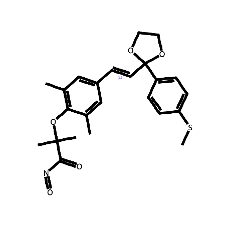 CSc1ccc(C2(/C=C/c3cc(C)c(OC(C)(C)C(=O)N=O)c(C)c3)OCCO2)cc1